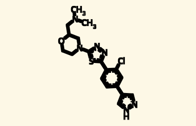 CN(C)CC1CN(c2nnc(-c3ccc(-c4cn[nH]c4)cc3Cl)s2)CCO1